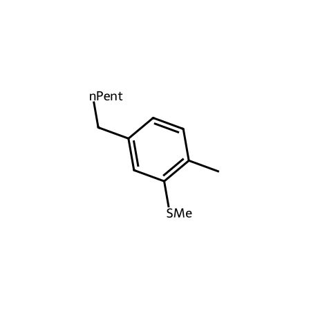 CCCCCCc1ccc(C)c(SC)c1